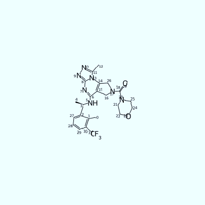 Cc1c([C@@H](C)Nc2nc3nnc(C)n3c3c2CN(C(=O)N2CCOCC2)C3)cccc1C(F)(F)F